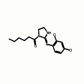 CCCCCC(=O)N1CCN/C1=N\c1ccc(Cl)cc1Cl